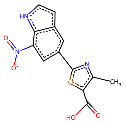 Cc1nc(-c2cc([N+](=O)[O-])c3[nH]ccc3c2)sc1C(=O)O